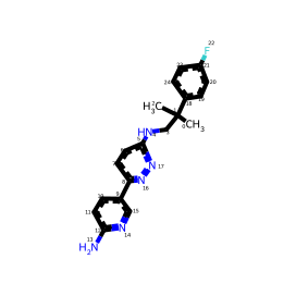 CC(C)(CNc1ccc(-c2ccc(N)nc2)nn1)c1ccc(F)cc1